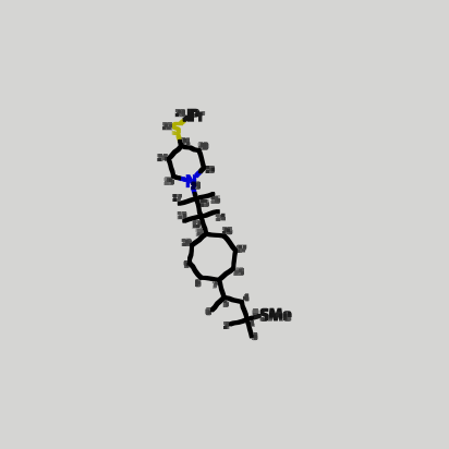 CSC(C)(C)CC(C)C1CCCC(C(C)(C)C(C)(C)N2CCC(SC(C)C)CC2)CCC1